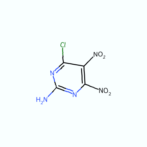 Nc1nc(Cl)c([N+](=O)[O-])c([N+](=O)[O-])n1